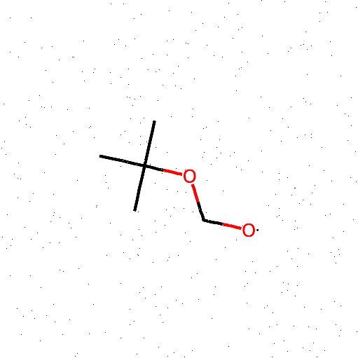 CC(C)(C)OC[O]